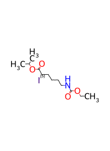 CCOC(=O)NCCCC[C@H](I)C(=O)OC(C)C